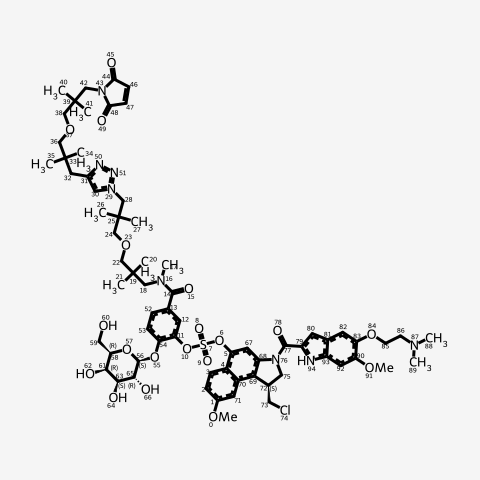 COc1ccc2c(OS(=O)(=O)Oc3cc(C(=O)N(C)CC(C)(C)COCC(C)(C)Cn4cc(CC(C)(C)COCC(C)(C)CN5C(=O)C=CC5=O)nn4)ccc3O[C@@H]3O[C@H](CO)[C@H](O)[C@H](O)[C@H]3O)cc3c(c2c1)[C@H](CCl)CN3C(=O)c1cc2cc(OCCN(C)C)c(OC)cc2[nH]1